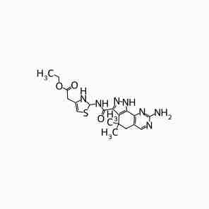 CCOC(=O)CC1=CSC(NC(=O)c2n[nH]c3c2C(C)(C)Cc2cnc(N)nc2-3)N1